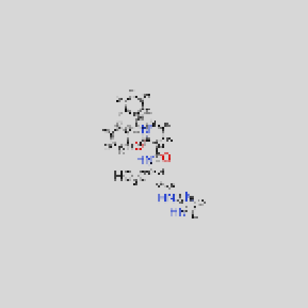 O=C(N[C@@H](CCCNC1=NCCN1)C(=O)O)c1cccn(C(c2ccccc2)c2ccccc2)c1=O